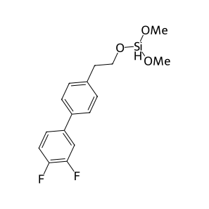 CO[SiH](OC)OCCc1ccc(-c2ccc(F)c(F)c2)cc1